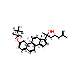 C=C(C)CCCC(C)(O)C1=CC=C2C3=C(C=C[C@@]21C)[C@]1(C)CC(O[Si](C)(C)C(C)(C)C)=CC=C1C=C3